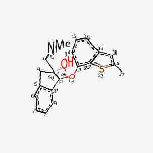 CNC[C@]1(O)Cc2ccccc2[C@@H]1Oc1cccc2cc(C)sc12